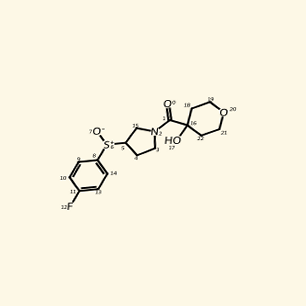 O=C(N1CCC([S+]([O-])c2ccc(F)cc2)C1)C1(O)CCOCC1